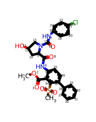 COC(=O)c1c(NC(=O)C2CC(O)CN2C(=O)Nc2ccc(Cl)cc2)ccc(-c2ccccc2)c1S(C)(=O)=O